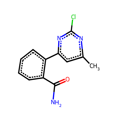 Cc1cc(-c2ccccc2C(N)=O)nc(Cl)n1